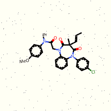 CC=CC1(C)C(=O)N(CC(=O)N(c2ccc(OC)cc2)C(C)C)c2ccccc2N(c2ccc(Cl)cc2)C1=O